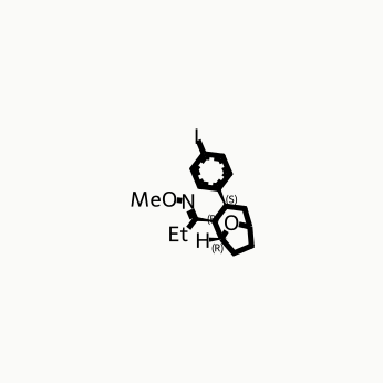 CCC(=NOC)[C@H]1[C@@H](c2ccc(I)cc2)CC2CC[C@H]1O2